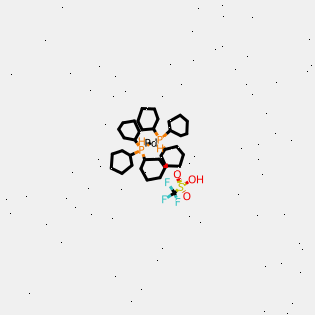 C1CCC([PH]([Pd][PH](C2CCCCC2)(C2CCCCC2)C2CCCCC2)(C2CCCCC2)C2CCCCC2)CC1.O=S(=O)(O)C(F)(F)F